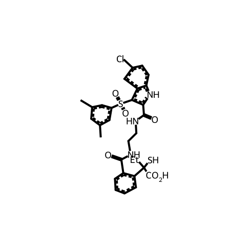 CCC(S)(C(=O)O)c1ccccc1C(=O)NCCNC(=O)c1[nH]c2ccc(Cl)cc2c1S(=O)(=O)c1cc(C)cc(C)c1